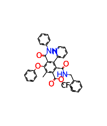 Cc1c(Oc2ccccc2)c(C(=O)Nc2ccccc2)c(-c2ccccn2)c(C(=O)NCc2ccccc2)c1C(=O)OC(F)(F)F